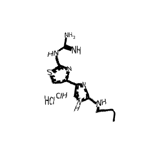 CCCNc1nc(-c2csc(NC(=N)N)n2)c[nH]1.Cl.Cl